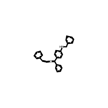 C(=C=C(c1ccccc1)c1ccc(NCc2ccccc2)cc1)=Cc1ccccc1